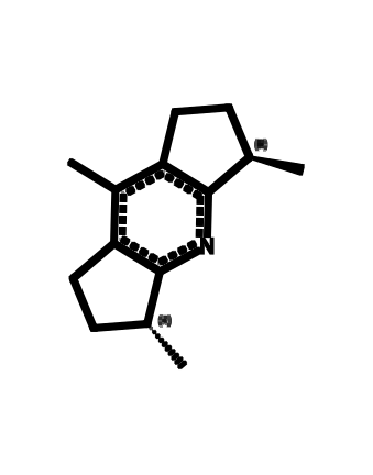 Cc1c2c(nc3c1CC[C@H]3C)[C@H](C)CC2